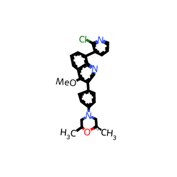 COc1c(-c2ccc(N3CC(C)O[C@H](C)C3)cc2)cnc2c(-c3cccnc3Cl)cccc12